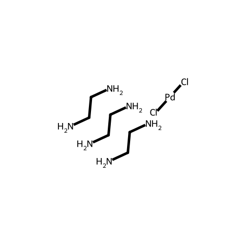 NCCN.NCCN.NCCN.[Cl][Pd][Cl]